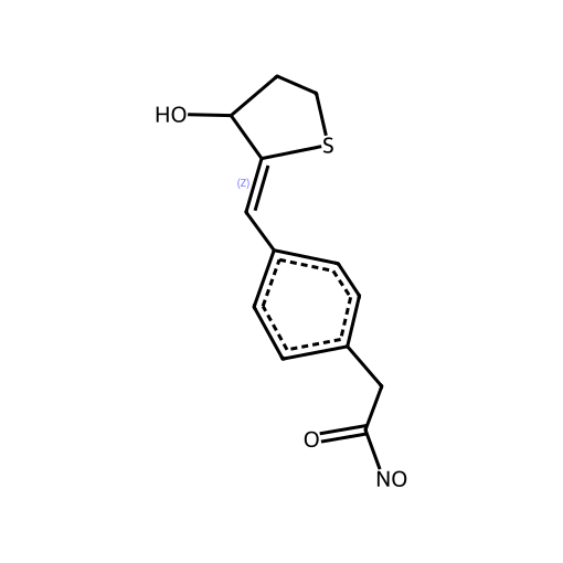 O=NC(=O)Cc1ccc(/C=C2\SCCC2O)cc1